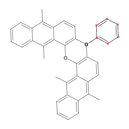 Cc1c2ccccc2c(C)c2c(Oc3c(Oc4ccccc4)ccc4c(C)c5ccccc5c(C)c34)c(Oc3ccccc3)ccc12